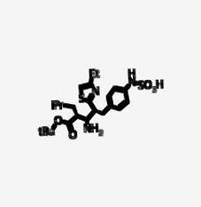 CCc1csc([C@@H](Cc2ccc(NS(=O)(=O)O)cc2)C(N)[C@H](CC(C)C)C(=O)OC(C)(C)C)n1